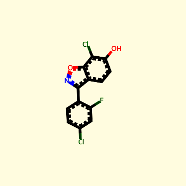 Oc1ccc2c(-c3ccc(Cl)cc3F)noc2c1Cl